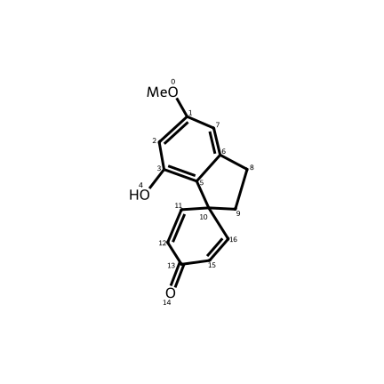 COc1cc(O)c2c(c1)CCC21C=CC(=O)C=C1